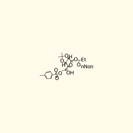 CCCCCCCCCOC(CC)O[C@H]1O[C@H]([C@H](O)COS(=O)(=O)c2ccc(C)cc2)[C@@H]2OC(C)(C)O[C@H]12